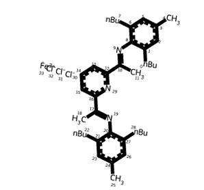 CCCCc1cc(C)cc(CCCC)c1N=C(C)c1cccc(C(C)=Nc2c(CCCC)cc(C)cc2CCCC)n1.[Cl-].[Cl-].[Cl-].[Fe+3]